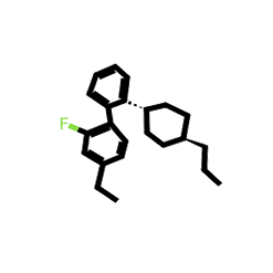 CCC[C@H]1CC[C@H](c2ccccc2-c2ccc(CC)cc2F)CC1